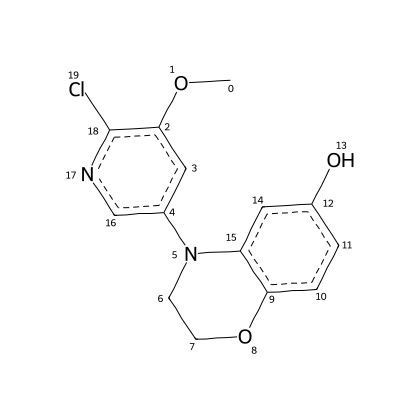 COc1cc(N2CCOc3ccc(O)cc32)cnc1Cl